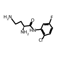 NCC[C@H](N)C(=O)Nc1cc(F)ccc1Cl